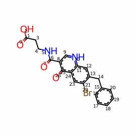 O=C(O)CCNC(=O)c1c[nH]c2cc(Cc3ccccc3)c(Br)cc2c1=O